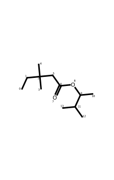 CCC(C)(C)CC(=O)OC(C)C(C)C